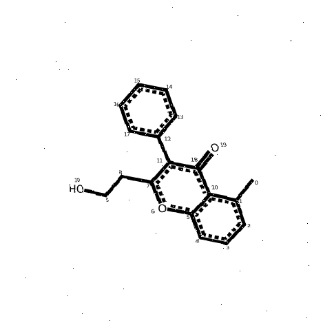 Cc1cccc2oc(CCO)c(-c3ccccc3)c(=O)c12